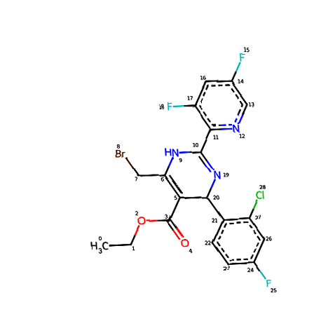 CCOC(=O)C1=C(CBr)NC(c2ncc(F)cc2F)=NC1c1ccc(F)cc1Cl